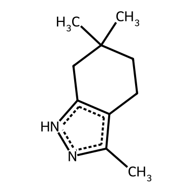 Cc1n[nH]c2c1CCC(C)(C)C2